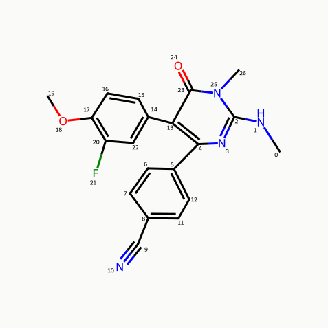 CNc1nc(-c2ccc(C#N)cc2)c(-c2ccc(OC)c(F)c2)c(=O)n1C